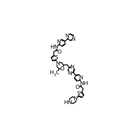 CC1CN(c2ccc(CC(=O)Nc3ccc(-c4cnccn4)cn3)s2)CC(Cc2cnc(-c3ccc(NC(=O)Cc4ccc(N5CCNCC5)s4)nc3)cn2)O1